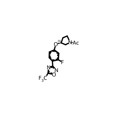 CC(=O)N1CC[C@H](Oc2ccc(-c3noc(C(F)(F)F)n3)c(F)c2)C1